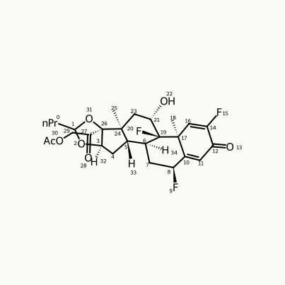 CCCC1O[C@@H]2C[C@H]3[C@@H]4C[C@H](F)C5=CC(=O)C(F)=C[C@]5(C)[C@@]4(F)[C@@H](O)C[C@]3(C)[C@]2(C(=O)COC(C)=O)O1